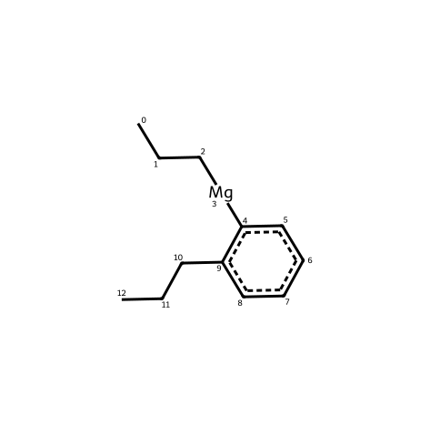 CC[CH2][Mg][c]1ccccc1CCC